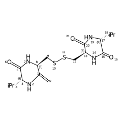 C=C1N[C@H](C(C)C)C(=O)N[C@H]1CSSC[C@@H]1NC(=O)[C@@H](C(C)C)NC1=O